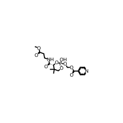 COC(=O)CCNC(=O)[C@@H]1O[P](O)(OCOC(=O)c2ccncc2)OCC1(C)C